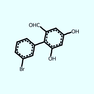 O=Cc1cc(O)cc(O)c1-c1cccc(Br)c1